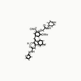 COc1cc(/C=C2/C(C)=C(CC(=O)NCc3ccco3)c3cc(F)ccc32)cc(OC)c1OCC(=O)NC1CCNCC1